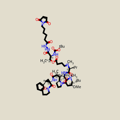 CC[C@H](C)[C@@H]([C@@H](CC(=O)N1CCC[C@H]1[C@H](OC)[C@@H](C)C(=O)N[C@@]1(C(=O)N2CCCCO2)C[C@@H]1c1ccccc1)OC)N(C)C(=O)[C@@H](NC(=O)[C@H](C(C)C)N(C)CCCC(=O)O[C@H](C)[C@H](NC(=O)OC(C)(C)C)C(=O)NNC(=O)CCCCCN1C(=O)C=CC1=O)C(C)C